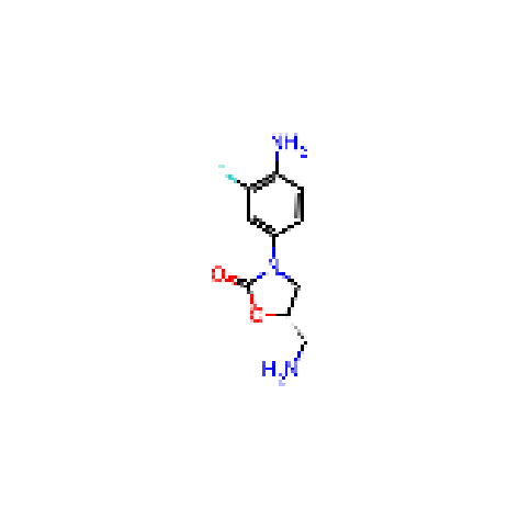 NC[C@H]1CN(c2ccc(N)c(F)c2)C(=O)O1